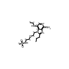 CCCc1nc2c(N)ncc(NCC)c2n1CCOCCNS(C)(=O)=O